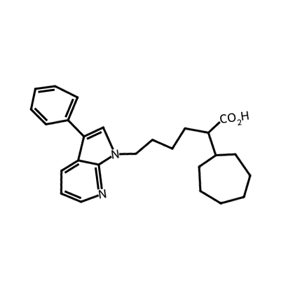 O=C(O)C(CCCCn1cc(-c2ccccc2)c2cccnc21)C1CCCCCC1